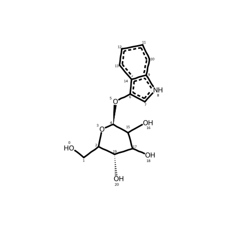 OCC1O[C@@H](Oc2c[nH]c3ccccc23)C(O)C(O)[C@@H]1O